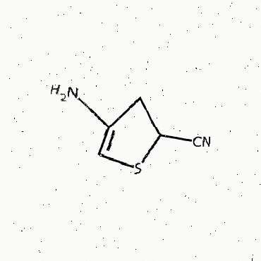 N#CC1CC(N)=CS1